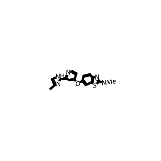 CNc1nc2ccc(Oc3ccnc(-c4nc(C)c[nH]4)c3)cc2s1